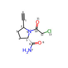 C#CC1CC[C@@H](C(N)=O)N1C(=O)CCl